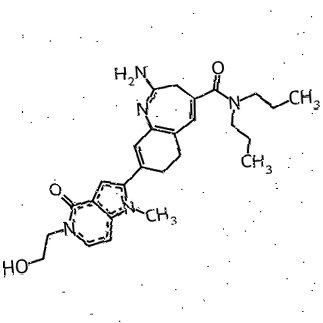 CCCN(CCC)C(=O)C1=CC2=C(C=C(c3cc4c(=O)n(CCO)ccc4n3C)CC2)N=C(N)C1